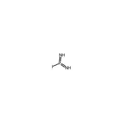 N=P(=N)I